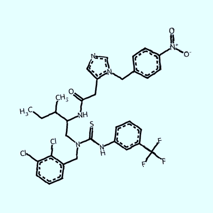 CCC(C)C(CN(Cc1cccc(Cl)c1Cl)C(=S)Nc1cccc(C(F)(F)F)c1)NC(=O)Cc1cncn1Cc1ccc([N+](=O)[O-])cc1